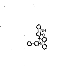 CC1(C)c2ccc3c([nH]c4ccccc43)c2Oc2ccc3c4ccccc4n(-c4ccc(-c5ccccc5)cc4)c3c21